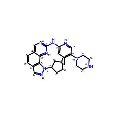 Cc1cc(Nc2ncc3ccc4cnn(C5CCCC5)c4c3n2)ncc1N1CCNCC1